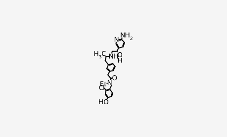 CCN(Cc1ccc(O)cc1Cl)C(=O)Cc1cccc(C[C@@H](C)NC[C@@H](O)c2ccc(N)nc2)c1